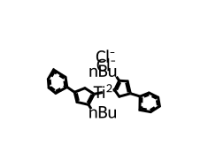 CCCCC1=[C]([Ti+2][C]2=C(CCCC)C=C(c3ccccc3)C2)CC(c2ccccc2)=C1.[Cl-].[Cl-]